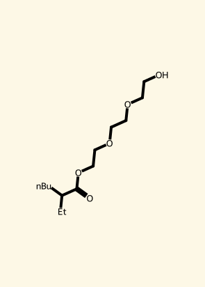 CCCCC(CC)C(=O)OCCOCCOCCO